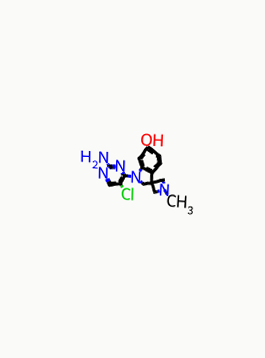 CN1CC2(C1)CN(c1nc(N)ncc1Cl)c1cc(O)ccc12